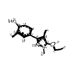 CCOc1c(C)c(-c2ccc(O)c(C)c2)nn1C